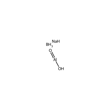 B.[NaH].[O]=[Al][OH]